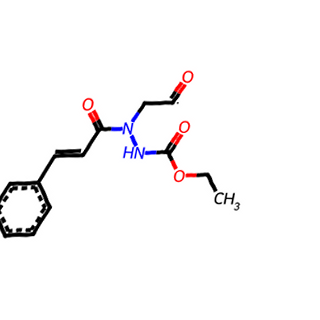 CCOC(=O)NN(C[C]=O)C(=O)C=Cc1ccccc1